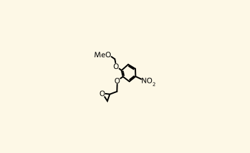 COCOc1ccc([N+](=O)[O-])cc1OCC1CO1